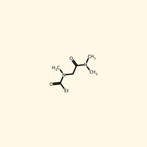 [CH2]CC(=O)N(C)CC(=O)N(C)C